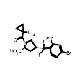 O=C(O)[C@@H]1C[C@@H](C(F)(F)c2ccc(Br)cc2C(F)(F)F)CN1C(=O)C1(C(F)(F)F)CC1